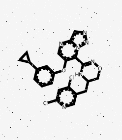 Clc1cc(Cl)c(CC2CON=C(c3c(Oc4cccc(C5CC5)c4)cnc4cnnn34)N2)cn1